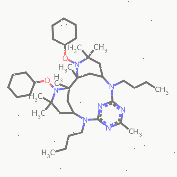 CCCCN1c2nc(C)nc(n2)N(CCCC)C2CC(C)(C)N(OC3CCCCC3)C(C)(C2)C2(C)CC1CC(C)(C)N2OC1CCCCC1